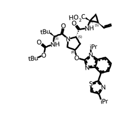 C=C[C@@H]1C[C@]1(NC(=O)[C@@H]1C[C@@H](Oc2nc3c(-c4nc(C(C)C)cs4)cccc3n2C(C)C)CN1C(=O)[C@@H](NC(=O)OC(C)(C)C)C(C)(C)C)C(=O)O